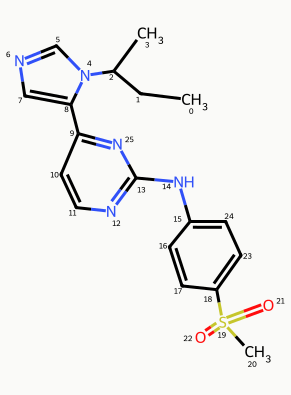 CCC(C)n1cncc1-c1ccnc(Nc2ccc(S(C)(=O)=O)cc2)n1